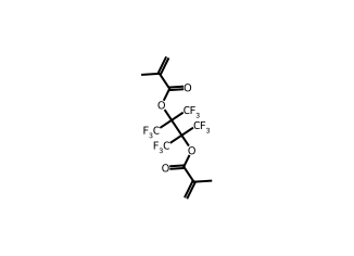 C=C(C)C(=O)OC(C(F)(F)F)(C(F)(F)F)C(OC(=O)C(=C)C)(C(F)(F)F)C(F)(F)F